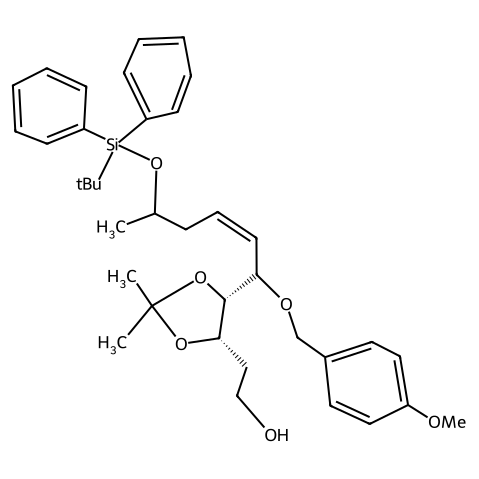 COc1ccc(COC(/C=C\CC(C)O[Si](c2ccccc2)(c2ccccc2)C(C)(C)C)[C@H]2OC(C)(C)O[C@H]2CCO)cc1